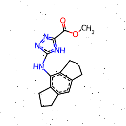 COC(=O)c1nnc(Nc2c3c(cc4c2CCC4)CCC3)[nH]1